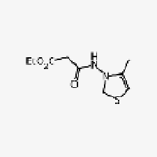 CCOC(=O)CC(=O)NN1CSC=C1C